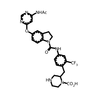 CC(=O)Nc1cc(Oc2ccc3c(c2)CCN3C(=O)Nc2ccc(CC3CNCCN3C(=O)O)c(C(F)(F)F)c2)ncn1